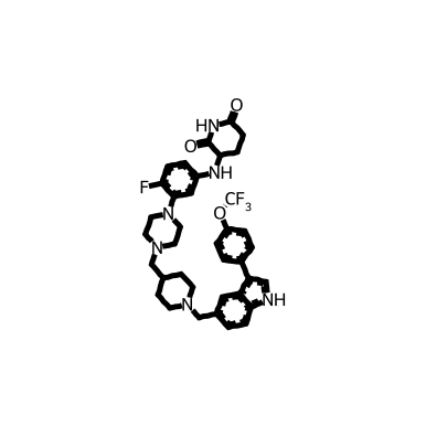 O=C1CCC(Nc2ccc(F)c(N3CCN(CC4CCN(Cc5ccc6[nH]cc(-c7ccc(OC(F)(F)F)cc7)c6c5)CC4)CC3)c2)C(=O)N1